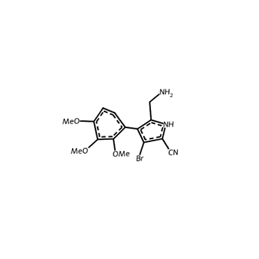 COc1ccc(-c2c(CN)[nH]c(C#N)c2Br)c(OC)c1OC